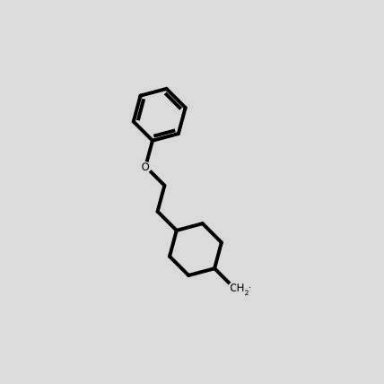 [CH2]C1CCC(CCOc2ccccc2)CC1